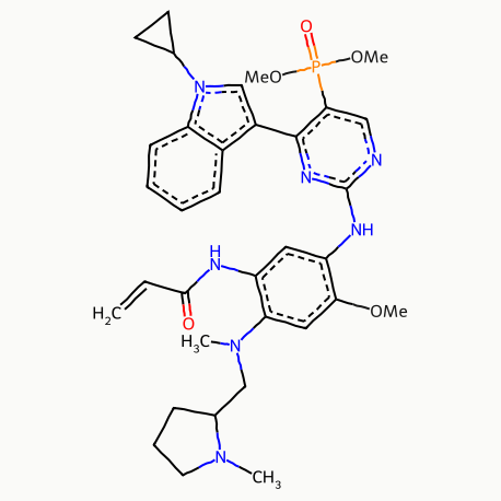 C=CC(=O)Nc1cc(Nc2ncc(P(=O)(OC)OC)c(-c3cn(C4CC4)c4ccccc34)n2)c(OC)cc1N(C)CC1CCCN1C